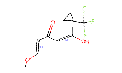 CO/C=C/C(=O)/C=C(/O)C1(C(F)(F)F)CC1